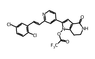 O=C1NCCc2c1cc(-c1ccnc(C=Cc3cc(Cl)ccc3Cl)c1)n2OC(=O)C(F)(F)F